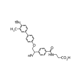 CCCC(COc1ccc(-c2ccc(C(C)(C)C)c(C)c2)cc1)c1ccc(C(=O)NCCC(=O)O)cc1